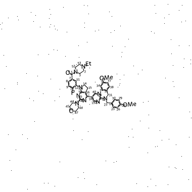 CCN1CCN(C(=O)c2ccc(F)c(N3CCc4c(-c5cnc(N(Cc6ccc(OC)cc6)Cc6ccc(OC)cc6)nc5)nc(N5CCOCC5)nc43)c2)CC1